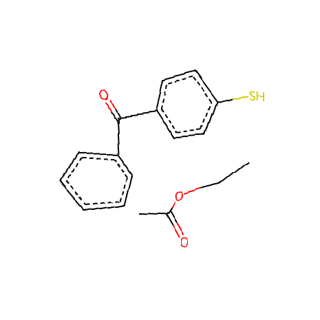 CCOC(C)=O.O=C(c1ccccc1)c1ccc(S)cc1